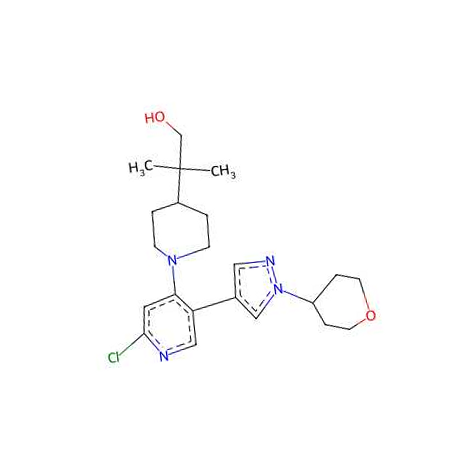 CC(C)(CO)C1CCN(c2cc(Cl)ncc2-c2cnn(C3CCOCC3)c2)CC1